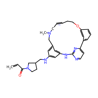 C=CC(=O)N1CCC(CNc2cc3cc(c2)Nc2nccc(n2)-c2cccc(c2)OCC/C=C/CN(C)C3)C1